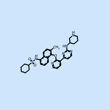 Cc1ccc2c(NS(=O)(=O)C3CCCCC3)cccc2c1Oc1ncccc1-c1ccnc(NC2CCCNC2)n1